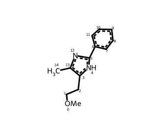 COCCc1[nH]c(-c2ccccc2)nc1C